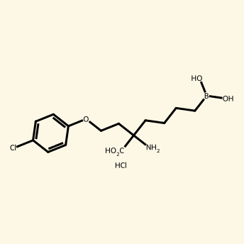 Cl.NC(CCCCB(O)O)(CCOc1ccc(Cl)cc1)C(=O)O